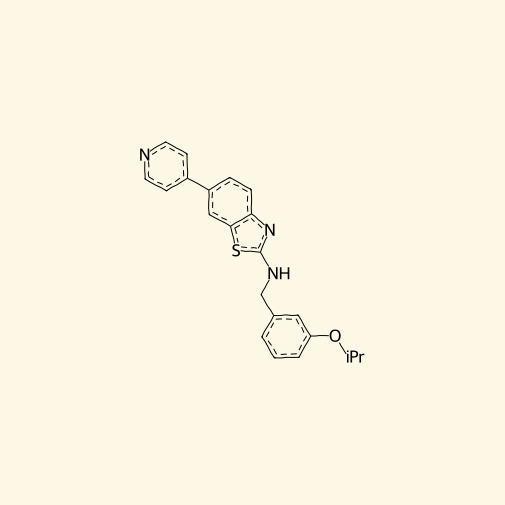 CC(C)Oc1cccc(CNc2nc3ccc(-c4ccncc4)cc3s2)c1